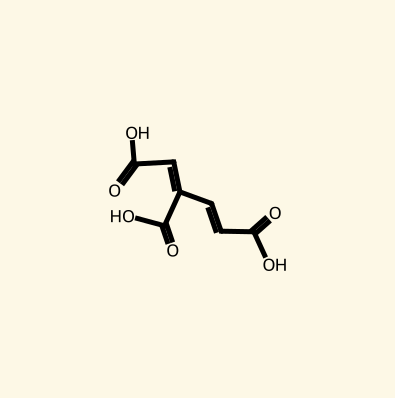 O=C(O)/C=C(/C=C/C(=O)O)C(=O)O